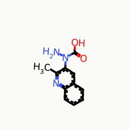 Cc1nc2ccccc2cc1N(N)C(=O)O